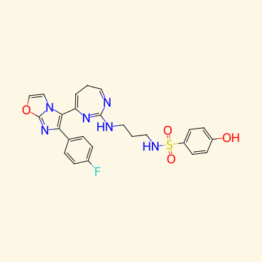 O=S(=O)(NCCCNC1=NC(c2c(-c3ccc(F)cc3)nc3occn23)=CCC=N1)c1ccc(O)cc1